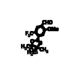 COc1cc(B2OC(C)(C)C(C)(C)O2)c(C(F)(F)F)cc1C=O